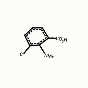 CNc1c(Cl)cccc1C(=O)O